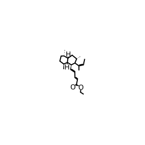 C/C=C(/C)C1[C@@H](/C=C/C=C/C(=O)OCC)[C@H]2[C@@H](C[C@@H]1C)[C@@H](C)CC[C@@H]2C